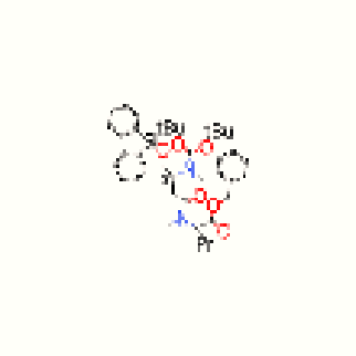 CC(C)[C@@H](C(=O)OCc1ccccc1)N(C)C(=O)C[C@@H](CO[Si](c1ccccc1)(c1ccccc1)C(C)(C)C)N(C)C(=O)OC(C)(C)C